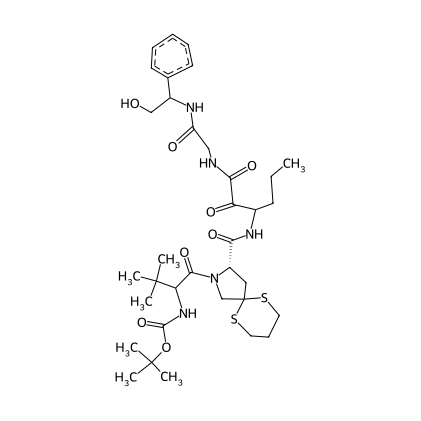 CCCC(NC(=O)[C@@H]1CC2(CN1C(=O)C(NC(=O)OC(C)(C)C)C(C)(C)C)SCCCS2)C(=O)C(=O)NCC(=O)NC(CO)c1ccccc1